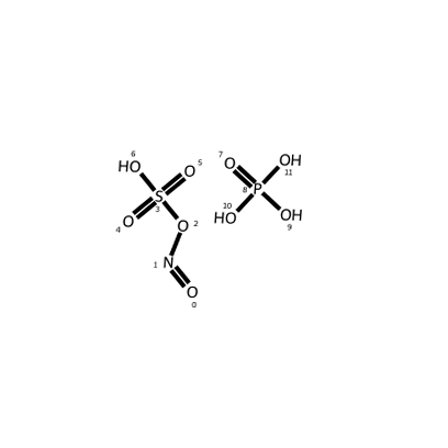 O=NOS(=O)(=O)O.O=P(O)(O)O